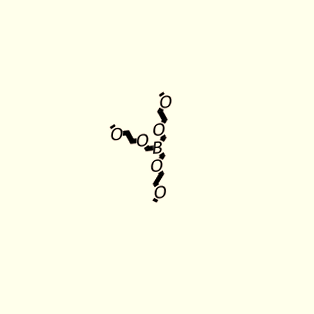 COCCOCB(COCCOC)COCCOC